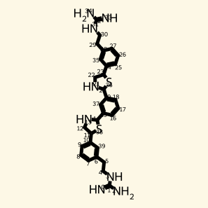 N=C(N)NCCc1cccc(C2CNC(c3cccc(C4NCC(c5cccc(CCNC(=N)N)c5)S4)c3)S2)c1